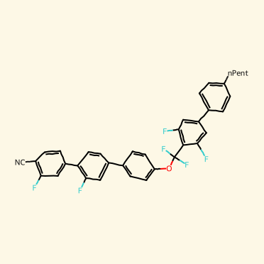 CCCCCc1ccc(-c2cc(F)c(C(F)(F)Oc3ccc(-c4ccc(-c5ccc(C#N)c(F)c5)c(F)c4)cc3)c(F)c2)cc1